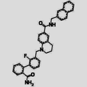 NC(=O)c1ccccc1-c1cccc(CN2CCCc3cc(C(=O)NCc4ccc5ccccc5c4)ccc32)c1F